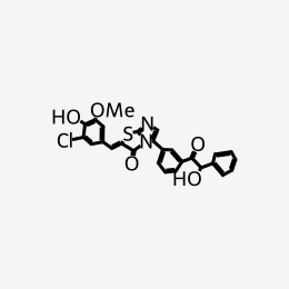 COc1cc(C=c2sc3ncc(-c4cccc(C(=O)C(O)c5ccccc5)c4)n3c2=O)cc(Cl)c1O